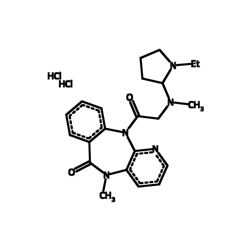 CCN1CCCC1N(C)CC(=O)N1c2ccccc2C(=O)N(C)c2cccnc21.Cl.Cl